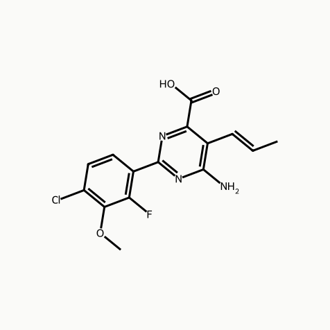 CC=Cc1c(N)nc(-c2ccc(Cl)c(OC)c2F)nc1C(=O)O